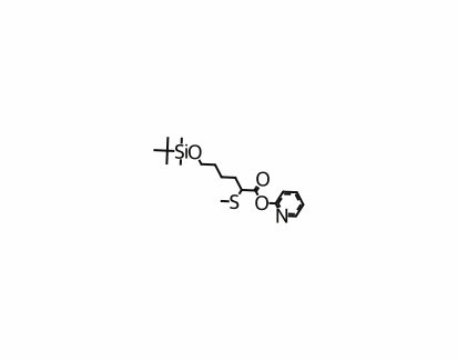 CSC(CCCCO[Si](C)(C)C(C)(C)C)C(=O)Oc1ccccn1